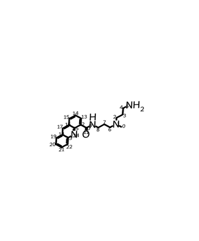 CN(CCCN)CCCNC(=O)c1cccc2cc3ccccc3nc12